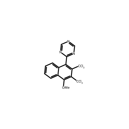 COc1c(C(Cl)(Cl)Cl)c(C(Cl)(Cl)Cl)c(-c2ncncn2)c2ccccc12